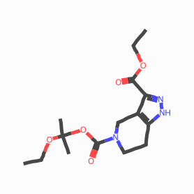 CCOC(=O)c1n[nH]c2c1CN(C(=O)OC(C)(C)OCC)CC2